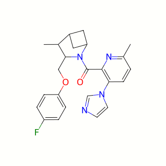 Cc1ccc(-n2ccnc2)c(C(=O)N2C3CC(C3)C(C)C2COc2ccc(F)cc2)n1